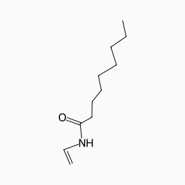 C=CNC(=O)CCCCCCCC